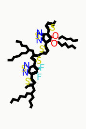 CCCCCCOc1c(OCCCCCC)c(-c2ccc(-c3sc(-c4c(F)c(F)c(-c5cc(CC(CCCC)CCCCCC)c(C)s5)c5nsnc45)cc3CC(CCCC)CCCCCC)s2)c2nsnc2c1-c1ccc(C)s1